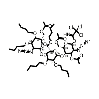 CCCCOC(=O)[C@@H]1O[C@@H](O[C@H]2C(OC(C)=O)C(N=[N+]=[N-])[C@@H](OC(=N)C(Cl)(Cl)Cl)O[C@H]2COC(C)=O)[C@@H](OCCCC)C(OCCCC)[C@@H]1O[C@H]1O[C@@H](COC(C)=O)[C@@H](OCCCC)[C@H](OCCCC)C1N=[N+]=[N-]